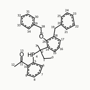 CCC(C)(Pc1ccccc1C(C)=O)c1cccc(Cc2ccccc2)c1OCc1ccccc1